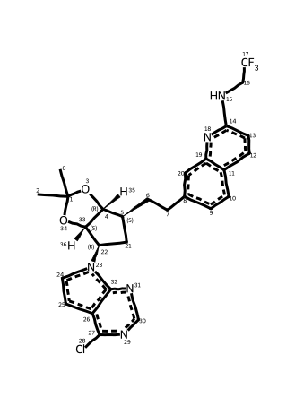 CC1(C)O[C@@H]2[C@@H](CCc3ccc4ccc(NCC(F)(F)F)nc4c3)C[C@@H](n3ccc4c(Cl)ncnc43)[C@@H]2O1